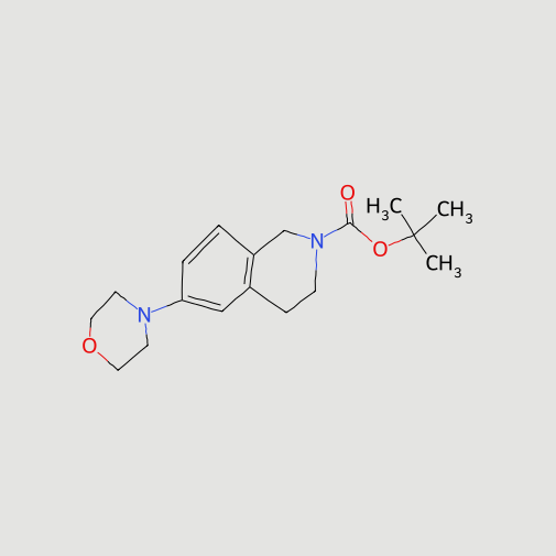 CC(C)(C)OC(=O)N1CCc2cc(N3CCOCC3)ccc2C1